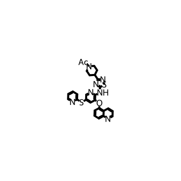 CC(=O)N1CCC(c2nsc(Nc3ncc(Sc4ccccn4)cc3Oc3cccc4ncccc34)n2)CC1